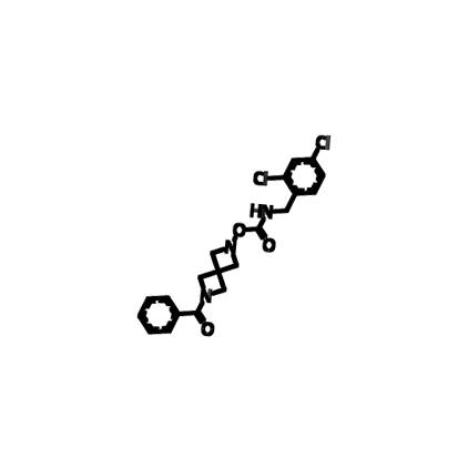 O=C(NCc1ccc(Cl)cc1Cl)ON1CC2(C1)CN(C(=O)c1ccccc1)C2